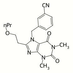 CCCOCCc1nc2c(c(=O)n(C)c(=O)n2C)n1Cc1cccc(C#N)c1